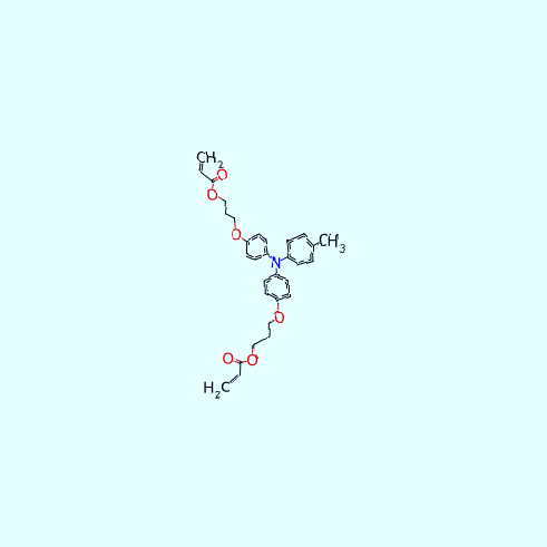 C=CC(=O)OCCCOc1ccc(N(c2ccc(C)cc2)c2ccc(OCCCOC(=O)C=C)cc2)cc1